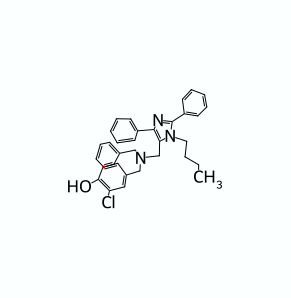 CCCCn1c(-c2ccccc2)nc(-c2ccccc2)c1CN(Cc1ccccc1)Cc1ccc(O)c(Cl)c1